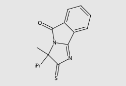 CC(C)C1(C)C(=S)N=C2c3ccccc3C(=O)N21